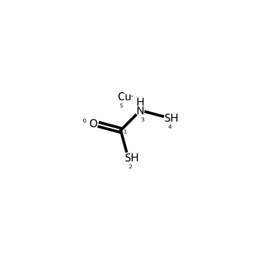 O=C(S)NS.[Cu]